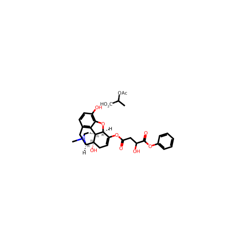 CC(=O)OC(C)C(=O)O.CN1CC[C@]23c4c5ccc(O)c4O[C@H]2C(OC(=O)CC(O)C(=O)Oc2ccccc2)=CC[C@@]3(O)[C@H]1C5